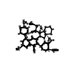 COc1ccc(-n2c([C@@H]3C[C@@H]4CCCC[C@@H]4N3C(=O)OC(C)(C)C)nc3c(-c4ccc(C)nc4)cc(C#N)cc3c2=O)cc1F